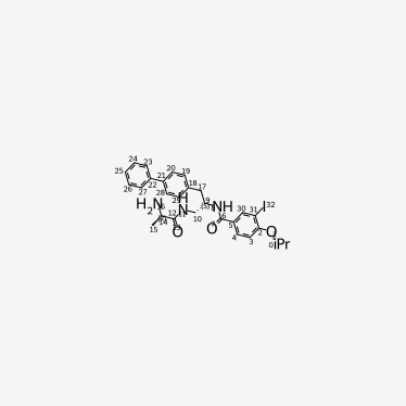 CC(C)Oc1ccc(C(=O)N[C@H](CNC(=O)[C@@H](C)N)Cc2ccc(-c3ccccc3)cc2)cc1I